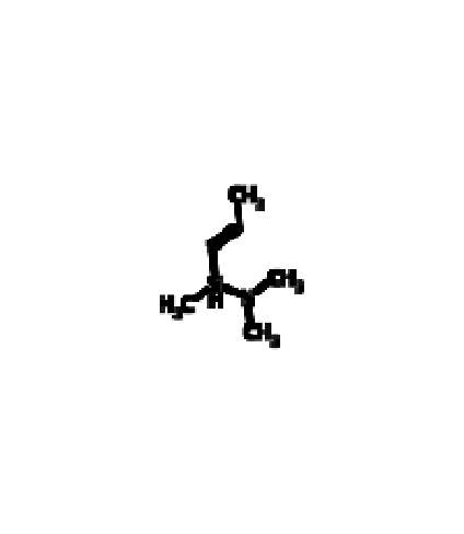 CC=C[SiH](C)N(C)C